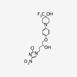 O=[N+]([O-])c1cn(CCC(O)COc2ccc(N3CCC(O)(C(F)(F)F)CC3)cc2)c(Cl)n1